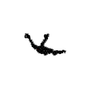 C=CC(=O)OCCCCCCCCOc1ccc(C(=O)Oc2ccc(OCc3cccc(-c4nc5cc(-c6cccc(OCCOCCC)c6)ccc5nc4-c4cccc(COc5ccc(OCCCCCCOC(=O)C=C)cc5)c4)c3)cc2)cc1